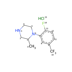 CC1CNCCN1c1cc(C(F)(F)F)ccc1F.Cl